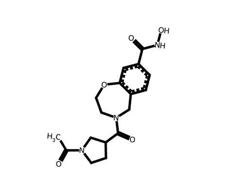 CC(=O)N1CCC(C(=O)N2CCOc3cc(C(=O)NO)ccc3C2)C1